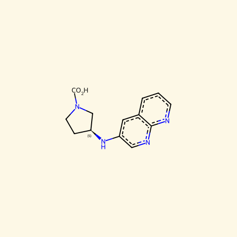 O=C(O)N1CC[C@H](Nc2cnc3ncccc3c2)C1